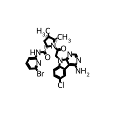 C[C@@H]1C[C@@H](C(=O)Nc2cccc(Br)n2)N(C(=O)Cn2c3ccc(Cl)cc3c3c(N)ncnc32)[C@@H]1C